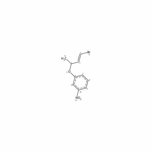 CC(C=CBr)Oc1cccc([N+](=O)[O-])c1